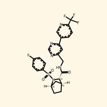 O=C(NCc1cc(-c2ccc(C(F)(F)F)nc2)ncn1)[C@@H]1[C@H]2CC[C@H](C2)N1S(=O)(=O)c1ccc(F)cc1